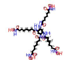 O=C(CCCCCCC(=O)Nc1cc(NC(=O)CCCCCCC(=O)NO)c(NC(=O)CCCCCCC(=O)NO)cc1NC(=O)CCCCCCC(=O)NO)NO